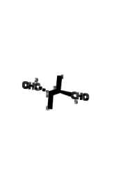 C[C@H](C=O)[C@@H](C)C=O